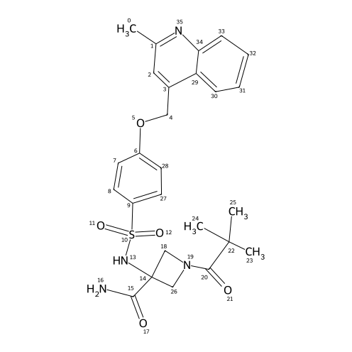 Cc1cc(COc2ccc(S(=O)(=O)NC3(C(N)=O)CN(C(=O)C(C)(C)C)C3)cc2)c2ccccc2n1